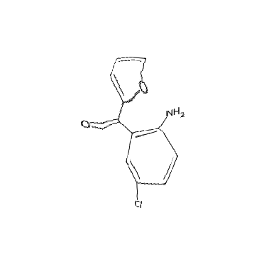 Nc1ccc(Cl)cc1C(=O)c1ccco1